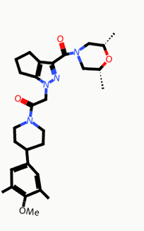 COc1c(C)cc(C2CCN(C(=O)Cn3nc(C(=O)N4C[C@@H](C)O[C@@H](C)C4)c4c3CCC4)CC2)cc1C